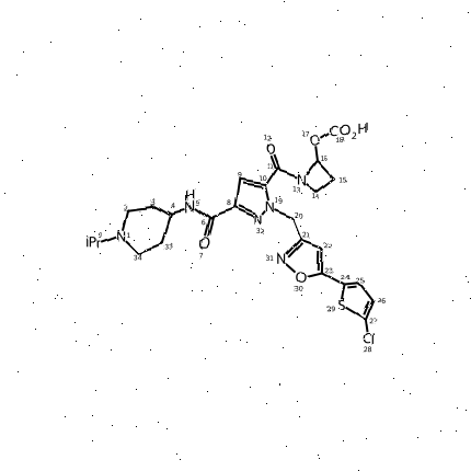 CC(C)N1CCC(NC(=O)c2cc(C(=O)N3CCC3OC(=O)O)n(Cc3cc(-c4ccc(Cl)s4)on3)n2)CC1